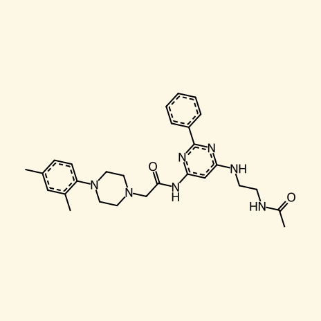 CC(=O)NCCNc1cc(NC(=O)CN2CCN(c3ccc(C)cc3C)CC2)nc(-c2ccccc2)n1